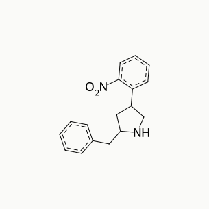 O=[N+]([O-])c1ccccc1C1CNC(Cc2ccccc2)C1